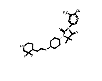 CC1(C)C(=O)N(c2cnc(C#N)c(C(F)(F)F)c2)C(=S)N1[C@H]1CC[C@H](OCCC2CCNCC2(F)F)CC1